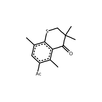 CC(=O)c1cc(C)c2c(c1C)C(=O)C(C)(C)CS2